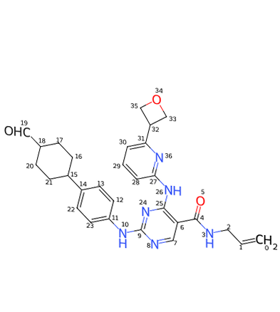 C=CCNC(=O)c1cnc(Nc2ccc(C3CCC(C=O)CC3)cc2)nc1Nc1cccc(C2COC2)n1